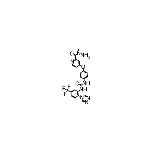 CN(N)C(=O)c1cc(Oc2ccc(NC(=O)Nc3cc(C(F)(F)F)ccc3-n3cnnc3)cc2)ccn1